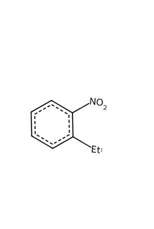 C[C]c1ccccc1[N+](=O)[O-]